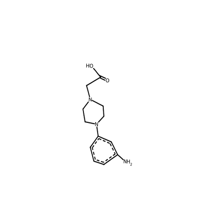 Nc1cccc(N2CCN(CC(=O)O)CC2)c1